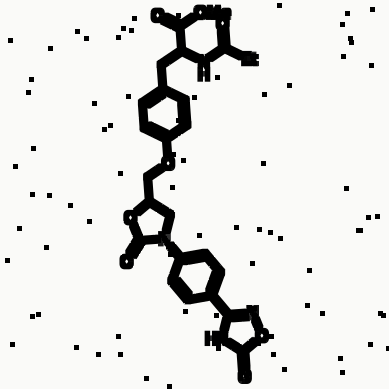 CCC(=O)NC(Cc1ccc(OCC2CN(c3ccc(-c4noc(=O)[nH]4)cc3)C(=O)O2)cc1)C(=O)OC